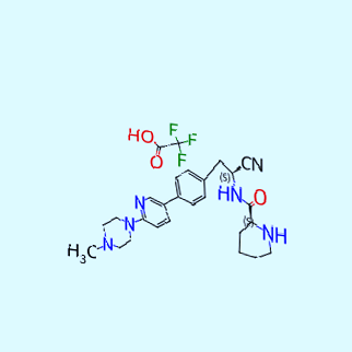 CN1CCN(c2ccc(-c3ccc(C[C@@H](C#N)NC(=O)[C@@H]4CCCCN4)cc3)cn2)CC1.O=C(O)C(F)(F)F